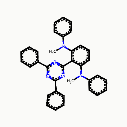 CN(c1ccccc1)c1cccc(N(C)c2ccccc2)c1-c1nc(-c2ccccc2)nc(-c2ccccc2)n1